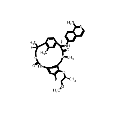 COC[C@H](C)Oc1c(F)cc2cc1CN(C)C(=O)[C@H](Nc1ccc3c(N)nccc3c1)c1ccc(c(C)c1)[C@@H](C)COC(=O)N2